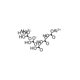 O.O=C([O-])O.O=C([O-])O.O=C([O-])O.O=C([O-])O.O=C([O-])O.[Al+3].[Mg+2]